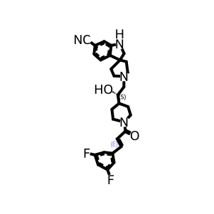 N#Cc1ccc2c(c1)NCC21CCN(C[C@@H](O)C2CCN(C(=O)/C=C/c3cc(F)cc(F)c3)CC2)CC1